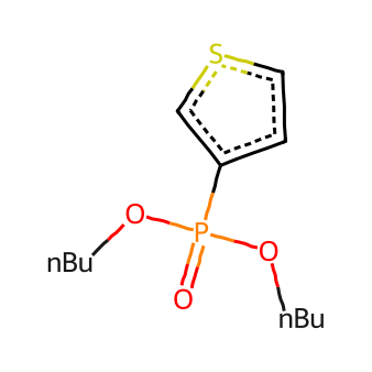 CCCCOP(=O)(OCCCC)c1ccsc1